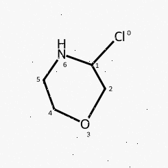 ClC1COC[CH]N1